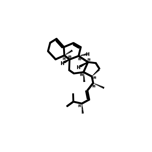 CC(C)[C@@H](C)C=C[C@@H](C)[C@H]1CC[C@H]2[C@@H]3C=CC4=CCCC[C@]4(C)[C@H]3CC[C@]12C